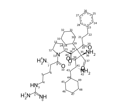 N=C(N)NCCC[C@H](N)C(=O)N1CCC[C@H]1C(=O)C(C(=O)CCc1ccccc1)(C1CCCCC1)[C@](N)([C]=O)C(=O)[C@H](N)CC1CCCCC1